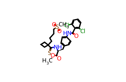 COC(=O)[C@H](Cc1ccc(NC(=O)c2c(Cl)cccc2Cl)cc1)NC(=S)C1(CCCCS(C)(=O)=O)CCC1